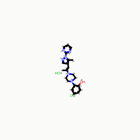 C/C(=C\c1cnn(-c2ncccn2)c1C)N1CCN(c2cc(Cl)ccc2O)CC1.Cl